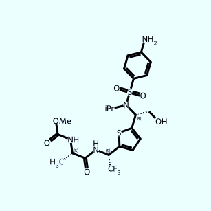 COC(=O)N[C@@H](C)C(=O)N[C@H](c1ccc([C@@H](CO)N(C(C)C)S(=O)(=O)c2ccc(N)cc2)s1)C(F)(F)F